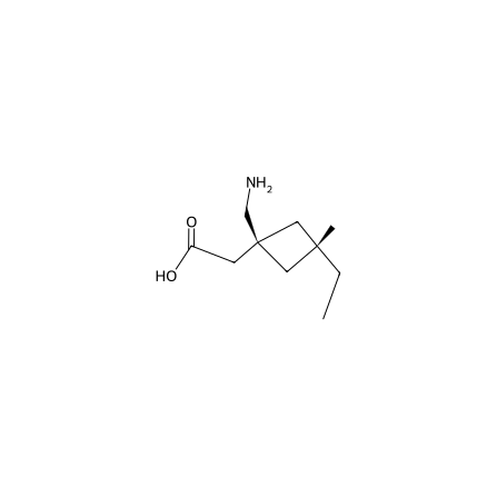 CC[C@]1(C)C[C@](CN)(CC(=O)O)C1